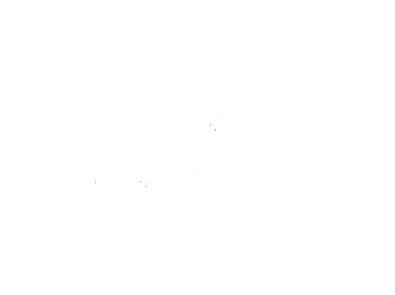 CC(C)(C)NC(=O)C(=O)c1c(-c2ccccc2)cc2ccccn12